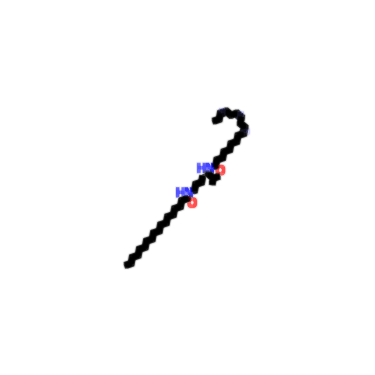 CC/C=C\C/C=C\C/C=C\CCCCCCCC(=O)N[C@@H](CCCCNC(=O)CCCCCCCCCCCCCCCCC)C(C)C